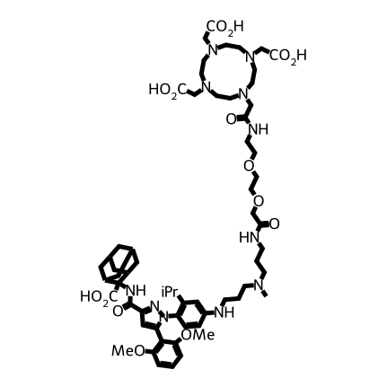 COc1cccc(OC)c1-c1cc(C(=O)NC2(C(=O)O)C3CC4CC(C3)CC2C4)nn1-c1ccc(NCCCN(C)CCCNC(=O)COCCOCCNC(=O)CN2CCN(CC(=O)O)CCN(CC(=O)O)CCN(CC(=O)O)CC2)cc1C(C)C